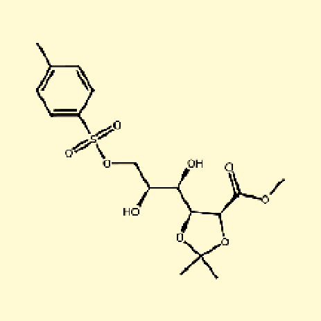 COC(=O)[C@H]1OC(C)(C)O[C@H]1[C@H](O)[C@@H](O)COS(=O)(=O)c1ccc(C)cc1